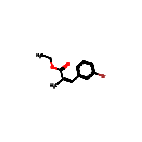 CCOC(=O)C(C)=Cc1cccc(Br)c1